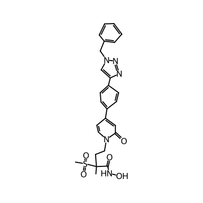 CC(CCn1ccc(-c2ccc(-c3cn(Cc4ccccc4)nn3)cc2)cc1=O)(C(=O)NO)S(C)(=O)=O